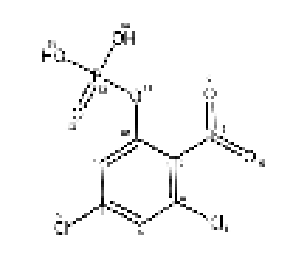 O=I(=O)c1c(Cl)cc(Cl)cc1OP(=O)(O)O